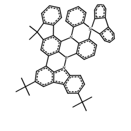 CC(C)(C)c1ccc2c(c1)c1cc(C(C)(C)C)cc3c1n2B1c2cccc4c2N(c2ccccc2[Si]42c4ccccc4-c4ccccc42)c2c1c-3cc1c2-c2ccccc2C1(C)C